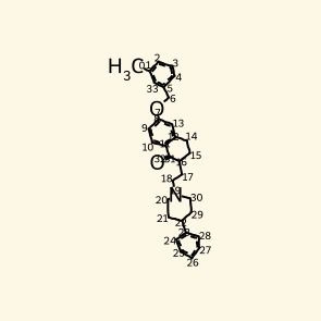 Cc1cccc(COc2ccc3c(c2)CCC(CCN2CCC(c4ccccc4)CC2)C3=O)c1